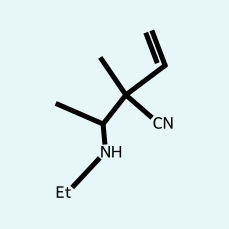 C=CC(C)(C#N)C(C)NCC